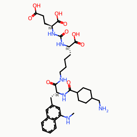 CNc1cc(C[C@@H](NC(=O)C2CCC(CN)CC2)C(=O)NCCCC[C@H](NC(=O)N[C@@H](CCC(=O)O)C(=O)O)C(=O)O)cc2ccccc12